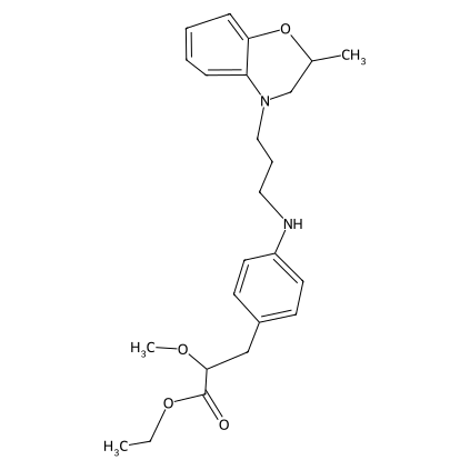 CCOC(=O)C(Cc1ccc(NCCCN2CC(C)Oc3ccccc32)cc1)OC